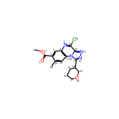 COC(=O)c1cc2nc(Cl)c3nnc(C4CCCOC4)n3c2cc1C